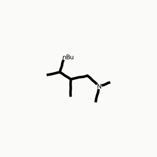 CCCCC(C)C(C)CN(C)C